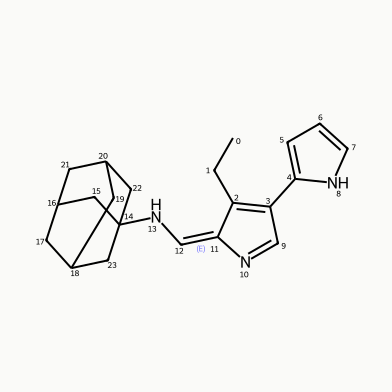 CCC1=C(c2ccc[nH]2)C=N/C1=C/NC12CC3CC(CC(C3)C1)C2